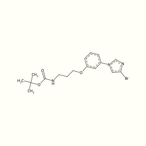 CC(C)(C)OC(=O)NCCCOc1cccc(-n2cnc(Br)c2)c1